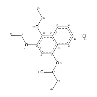 CCOc1cc(OC(=O)CC)c2cc(Cl)ccc2c1OCC